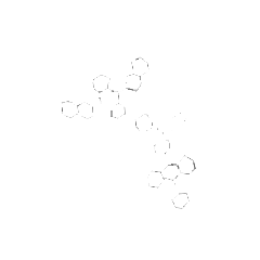 C1=CC2c3cc(-c4c5ccccc5c(-c5ccccc5)c5ccccc45)ccc3N(c3ccc(-c4ccc5c(-c6ccc7ccccc7c6)c6ccccc6c(-c6ccc7ccccc7c6)c5c4)cc3)C2C=C1